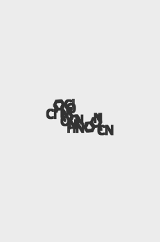 CN1Cc2cc(Nc3ncc4c(n3)OCN(c3c(Cl)cccc3Cl)C4=O)ccc2C(C#N)C1